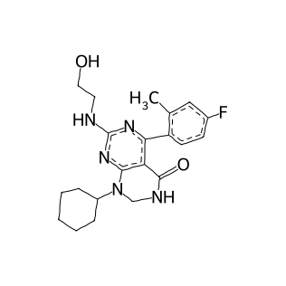 Cc1cc(F)ccc1-c1nc(NCCO)nc2c1C(=O)NCN2C1CCCCC1